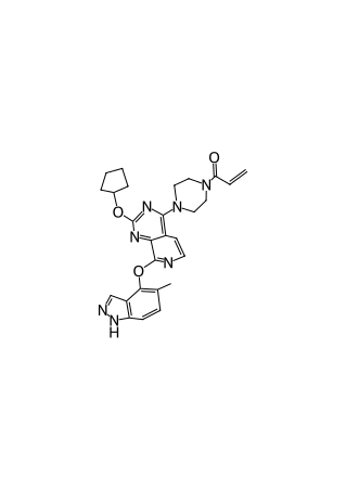 C=CC(=O)N1CCN(c2nc(OC3CCCC3)nc3c(Oc4c(C)ccc5[nH]ncc45)nccc23)CC1